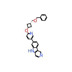 c1ccc(COC[C@H]2C[C@H](Oc3ccc(-c4ccc5c(c4)[nH]c4ccncc45)cn3)C2)cc1